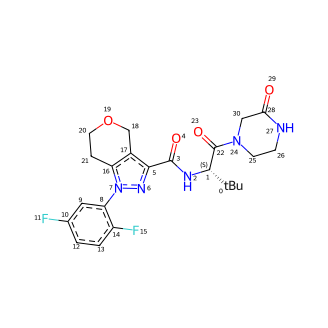 CC(C)(C)[C@H](NC(=O)c1nn(-c2cc(F)ccc2F)c2c1COCC2)C(=O)N1CCNC(=O)C1